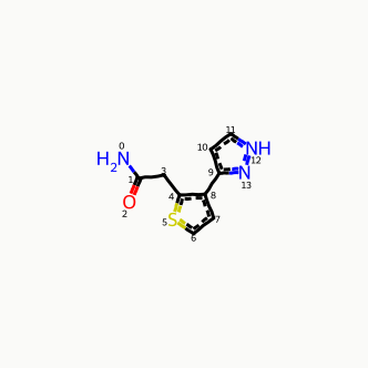 NC(=O)Cc1sccc1-c1cc[nH]n1